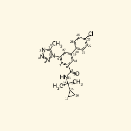 Cc1nnnn1-c1cc(C(=O)NC(C)(C)C2CC2)cc(-c2ccc(Cl)cc2)c1